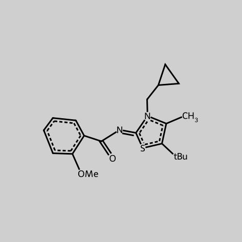 COc1ccccc1C(=O)/N=c1\sc(C(C)(C)C)c(C)n1CC1CC1